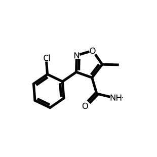 Cc1onc(-c2ccccc2Cl)c1C([NH])=O